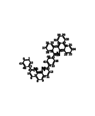 c1ccc(-c2ccc3ccc4ccc(-c5ccc(-c6nc7c8ccccc8c8ccccc8c7c7ccccc67)cc5)nc4c3n2)cc1